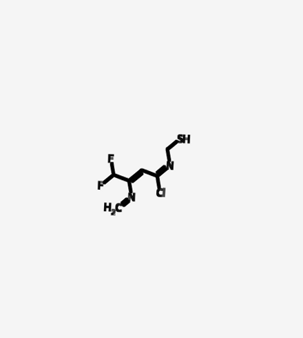 C=N/C(=C\C(Cl)=N/CS)C(F)F